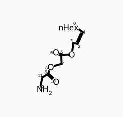 CCCCCC/C=C\COC(=O)COC(=O)CN